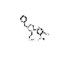 CC(=O)OCC[C@H]1CN(Cc2ccccc2)CCN1c1cc(C(F)F)c(C(F)(F)F)cn1